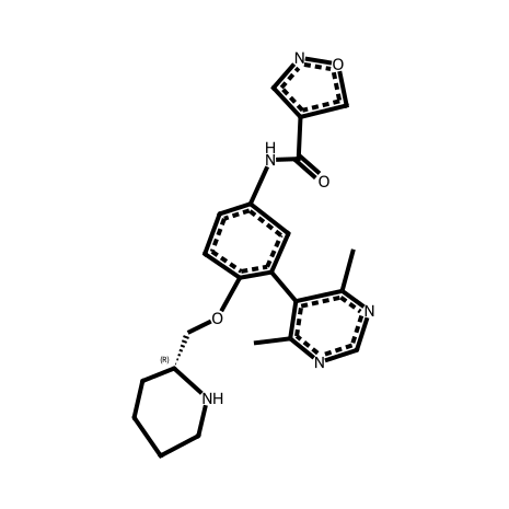 Cc1ncnc(C)c1-c1cc(NC(=O)c2cnoc2)ccc1OC[C@H]1CCCCN1